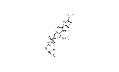 C[C@H]1CN(S(=O)(=O)CC2CCN(C)CC2)CC[C@H]1NC(=O)c1cc(C2CC2)on1